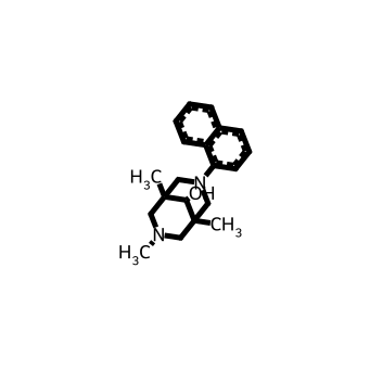 CN1CC2(C)CN(c3cccc4ccccc34)CC(C)(C1)C2O